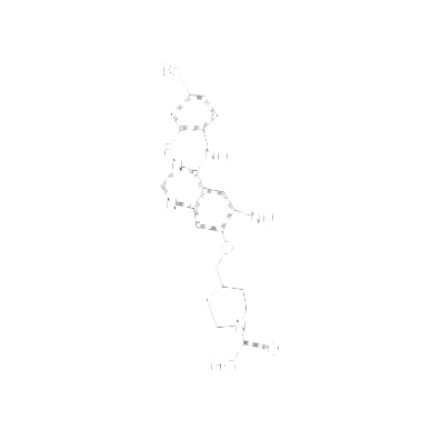 Nc1cc2c(Nc3ccc(Br)cc3F)ncnc2cc1OCC1CCN(C(=O)O)CC1